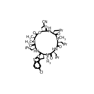 CC(C)C[C@@H]1NC(=O)[C@H](Cc2csc3ccc(Cl)cc23)N(C)C(=O)[C@H](CC(C)C)NC(=O)[C@H](CC(C)C)N(C)C(=O)[C@H](CC(C)C)NC(=O)[C@@H](CCC#N)OC(=O)[C@H](C)N(C)C1=O